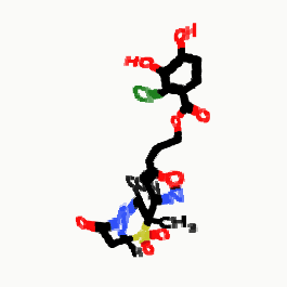 C[C@]1(c2cc(CCOC(=O)c3ccc(O)c(O)c3Cl)on2)[C@H](C(=O)O)N2C(=O)C[C@H]2S1(=O)=O